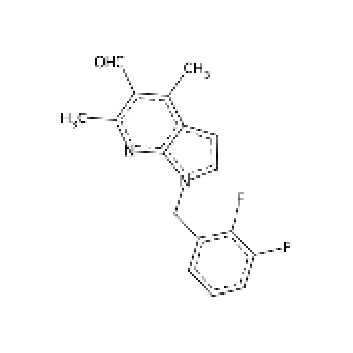 Cc1nc2c(ccn2Cc2cccc(F)c2F)c(C)c1C=O